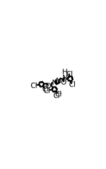 O=C(Cn1cc[n+](CC(OCc2ccc(Cl)cc2Cl)c2ccc(Cl)cc2Cl)c1)Nc1cc(Cl)ccc1Cl.[Cl-]